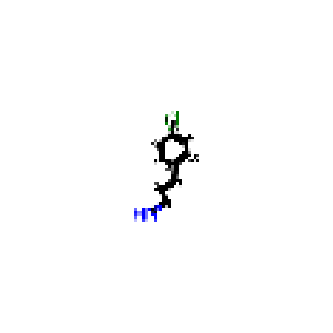 N=CC=Cc1ccc(Cl)cc1